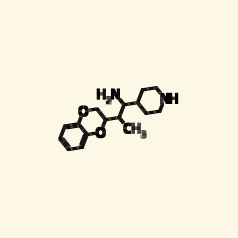 CC(C1COc2ccccc2O1)C(N)C1CCNCC1